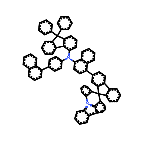 c1ccc(C2(c3ccccc3)c3ccccc3-c3c(N(c4ccc(-c5cccc6ccccc56)cc4)c4ccc(-c5ccc6c(c5)C5(c7ccccc7-6)c6ccccc6-n6c7ccccc7c7cccc5c76)c5ccccc45)cccc32)cc1